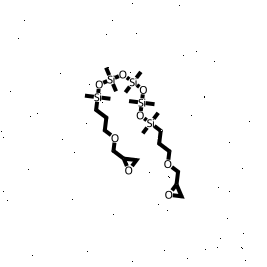 C[Si](C)(CCCOCC1CO1)O[Si](C)(C)O[Si](C)(C)O[Si](C)(C)O[Si](C)(C)CCCOCC1CO1